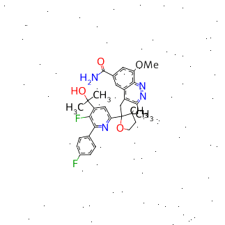 COc1cc(C(N)=O)cc2c(CC3(c4cc(C(C)(C)O)c(F)c(-c5ccc(F)cc5)n4)OCCC3C)c(C)nnc12